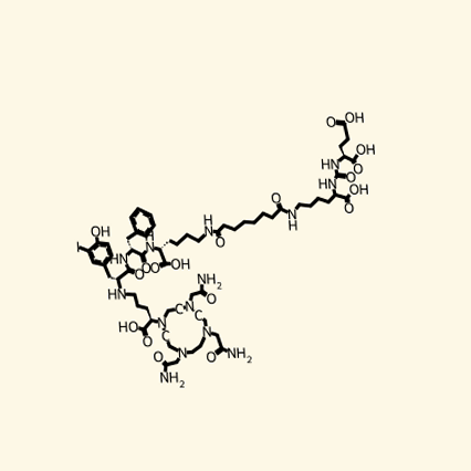 NC(=O)CN1CCN(CC(N)=O)CCN([C@H](CCCN[C@H](Cc2ccc(O)c(I)c2)C(=O)N[C@H](Cc2ccccc2)C(=O)N[C@H](CCCCNC(=O)CCCCCCC(=O)NCCCCC(NC(=O)N[C@@H](CCC(=O)O)C(=O)O)C(=O)O)C(=O)O)C(=O)O)CCN(CC(N)=O)CC1